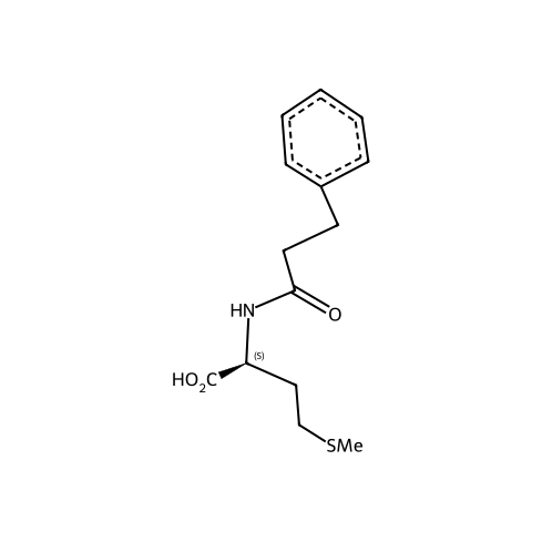 CSCC[C@H](NC(=O)CCc1ccccc1)C(=O)O